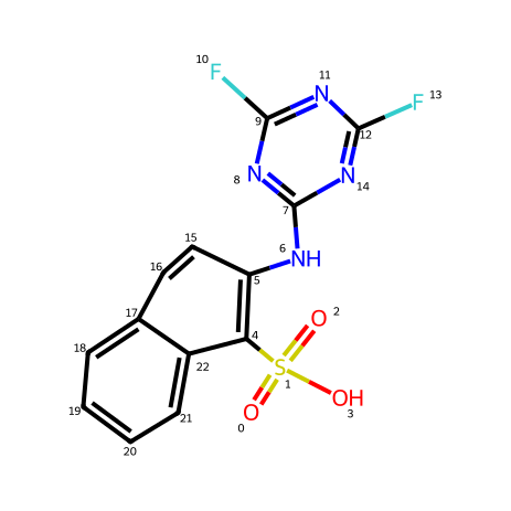 O=S(=O)(O)c1c(Nc2nc(F)nc(F)n2)ccc2ccccc12